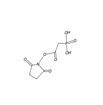 O=C(CP(=O)(O)O)ON1C(=O)CCC1=O